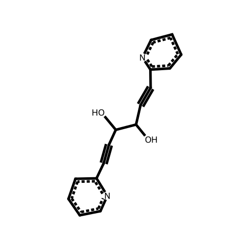 OC(C#Cc1ccccn1)C(O)C#Cc1ccccn1